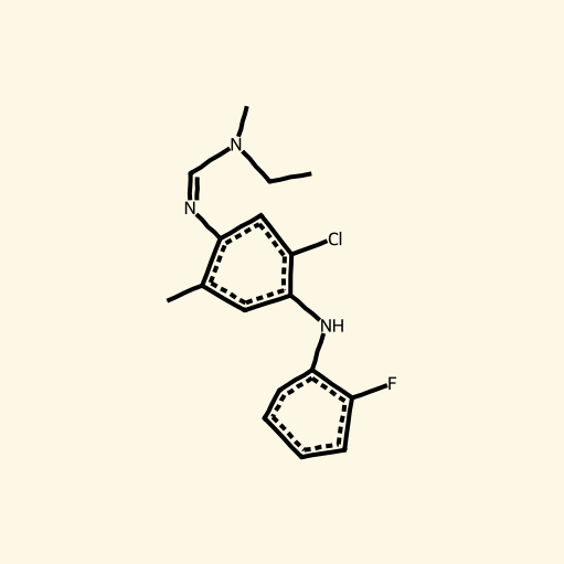 CCN(C)/C=N\c1cc(Cl)c(Nc2ccccc2F)cc1C